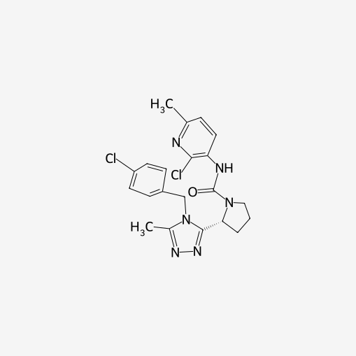 Cc1ccc(NC(=O)N2CCC[C@@H]2c2nnc(C)n2Cc2ccc(Cl)cc2)c(Cl)n1